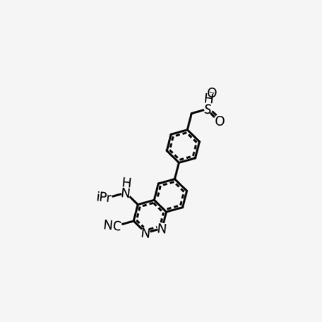 CC(C)Nc1c(C#N)nnc2ccc(-c3ccc(C[SH](=O)=O)cc3)cc12